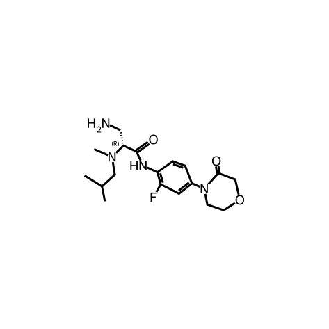 CC(C)CN(C)[C@H](CN)C(=O)Nc1ccc(N2CCOCC2=O)cc1F